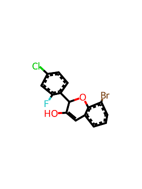 OC1=Cc2cccc(Br)c2OC1c1ccc(Cl)cc1F